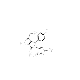 CC(C)Cc1n[nH]c2c1C(c1ccc(F)cc1)N(c1cc(C(C)C)nn1C)C2=O